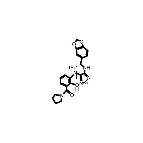 CC(C)(C)[C@@H](Nc1nsnc1Nc1cccc(C(=O)N2CCCC2)c1O)c1ccc2c(c1)OCO2